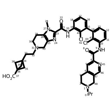 CC(C)N1CCc2cc(C(=O)Nc3cccc(-c4cccc(NC(=O)c5nc6c(n5C)CCN(CCC57CC(C(=O)O)(C5)C7)C6)c4Cl)c3Cl)ncc2C1